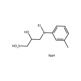 CCN(CC(O)CS(=O)(=O)O)c1cccc(C)c1.[NaH]